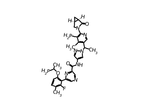 Cc1ccc(OC(C)P)c(-c2cncc(C(=O)Nc3cnn(C(C)c4cnc(N5C[C@H]6C[C@H]6C5=O)c(P)c4C)c3)n2)c1F